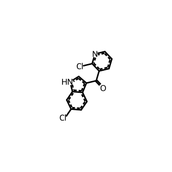 O=C(c1cccnc1Cl)c1c[nH]c2cc(Cl)ccc12